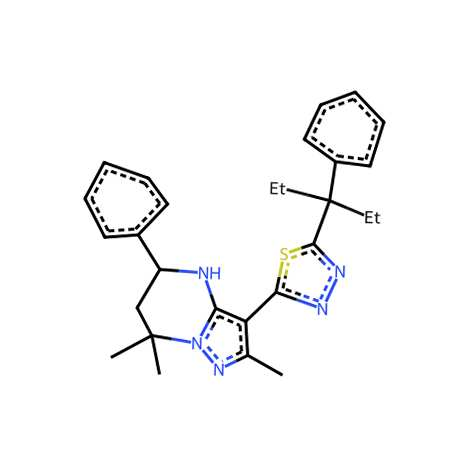 CCC(CC)(c1ccccc1)c1nnc(-c2c(C)nn3c2NC(c2ccccc2)CC3(C)C)s1